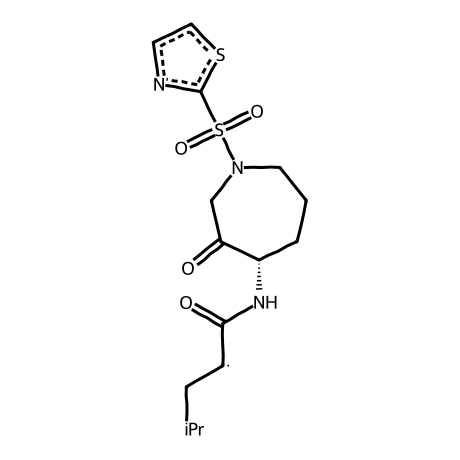 CC(C)C[CH]C(=O)N[C@H]1CCCN(S(=O)(=O)c2nccs2)CC1=O